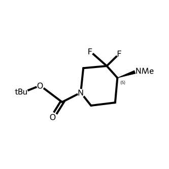 CN[C@H]1CCN(C(=O)OC(C)(C)C)CC1(F)F